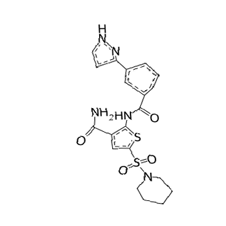 NC(=O)c1cc(S(=O)(=O)N2CCCCC2)sc1NC(=O)c1cccc(-c2cc[nH]n2)c1